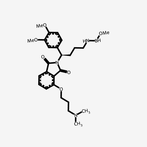 COBNCCC[C@H](c1ccc(OC)c(OC)c1)N1C(=O)c2cccc(OCCCN(C)C)c2C1=O